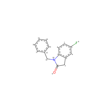 O=C1Cc2cc(F)ccc2N1Cc1ccccc1